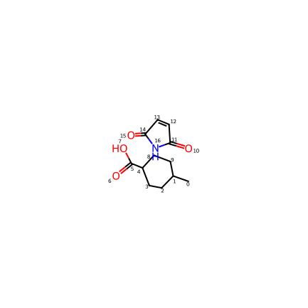 CC1CCC(C(=O)O)CC1.O=C1C=CC(=O)N1